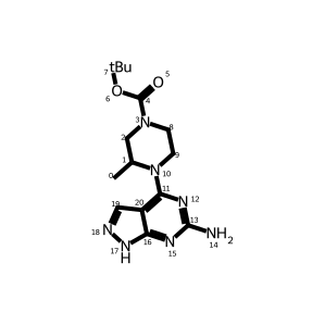 CC1CN(C(=O)OC(C)(C)C)CCN1c1nc(N)nc2[nH]ncc12